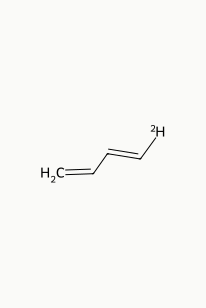 [2H]/C=C/C=C